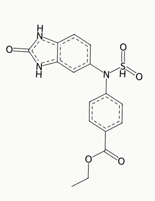 CCOC(=O)c1ccc(N(c2ccc3[nH]c(=O)[nH]c3c2)[SH](=O)=O)cc1